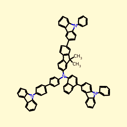 CC1(C)c2cc(-c3ccc4c(c3)c3ccccc3n4-c3ccccc3)ccc2-c2ccc(N(c3ccc(-c4ccc(-n5c6ccccc6c6ccccc65)cc4)cc3)c3ccc(-c4ccc5c(c4)c4ccccc4n5-c4ccccc4)c4ccccc34)cc21